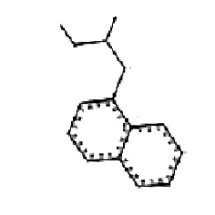 CCC(C)Cc1cccc2ccccc12